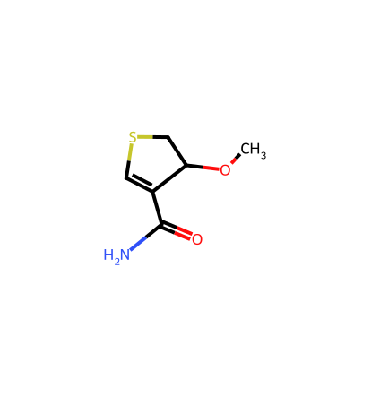 COC1CSC=C1C(N)=O